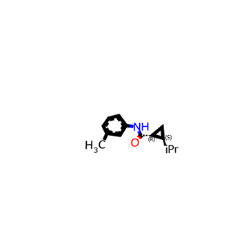 Cc1cccc(NC(=O)[C@@H]2C[C@H]2C(C)C)c1